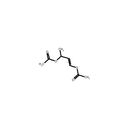 CC(=O)O/C=C/C(C)OC(C)=O